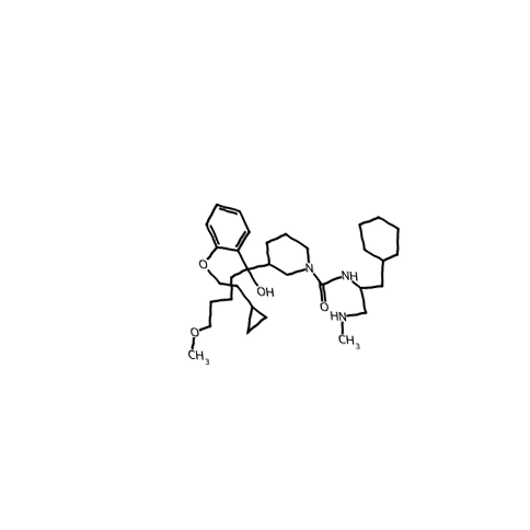 CNCC(CC1CCCCC1)NC(=O)N1CCCC(C(O)(CCCCOC)c2ccccc2OCCC2CC2)C1